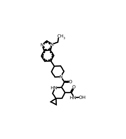 CCn1cnc2ccc(C3CCN(C(=O)C4NCC5(CC5)CC4C(=O)NO)CC3)cc21